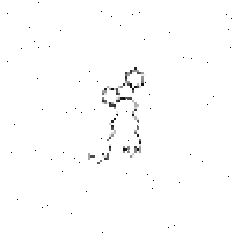 NCCCCCc1cccc2c1C(CCCCCN)c1ccccc1-2